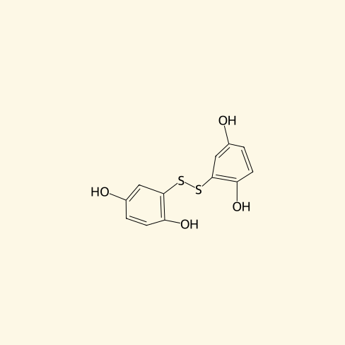 Oc1ccc(O)c(SSc2cc(O)ccc2O)c1